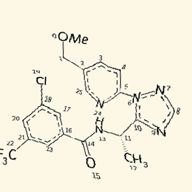 COCc1ccc(-n2ncnc2[C@H](C)NC(=O)c2cc(Cl)cc(C(F)(F)F)c2)nc1